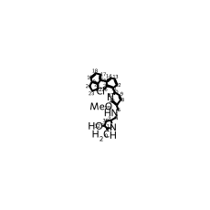 C=C1NC(CNCc2ccc(-c3cccc(-c4cccc5c4CCC5)c3Cl)nc2OC)CC1O